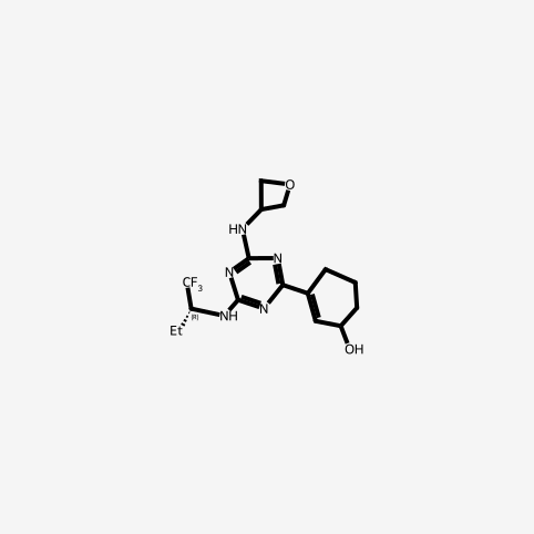 CC[C@@H](Nc1nc(NC2COC2)nc(C2=CC(O)CCC2)n1)C(F)(F)F